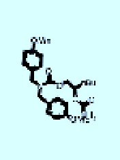 CCCCC(COC(=O)N(Cc1ccc(OC)cc1)Cc1ccc(OC)cc1)OC(N)=O